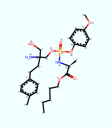 CCCCCOC(=O)[C@H](C)NP(=O)(OCC(N)(CO)CCc1ccc(C)cc1)Oc1ccc(OC)cc1